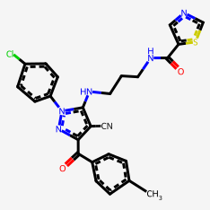 Cc1ccc(C(=O)c2nn(-c3ccc(Cl)cc3)c(NCCCNC(=O)c3cncs3)c2C#N)cc1